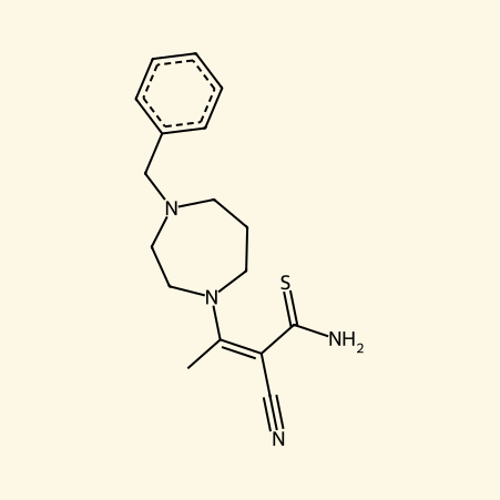 CC(=C(C#N)C(N)=S)N1CCCN(Cc2ccccc2)CC1